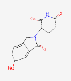 O=C1CCC(N2CC3=CCC(O)C=C3C2=O)C(=O)N1